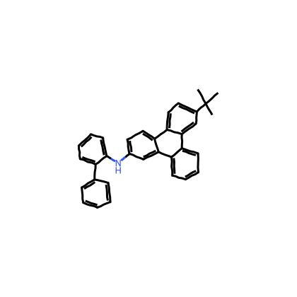 CC(C)(C)c1ccc2c3ccc(Nc4ccccc4-c4ccccc4)cc3c3ccccc3c2c1